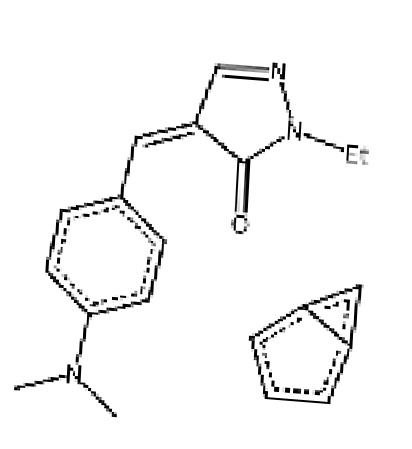 CCN1N=CC(=Cc2ccc(N(C)C)cc2)C1=O.c1cc2cc-2c1